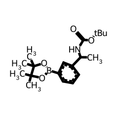 CC(NC(=O)OC(C)(C)C)c1cccc(B2OC(C)(C)C(C)(C)O2)c1